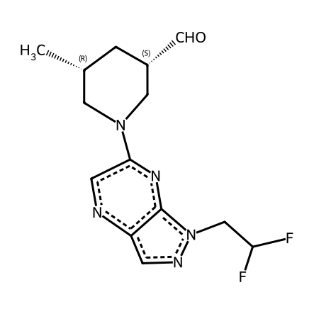 C[C@@H]1C[C@H](C=O)CN(c2cnc3cnn(CC(F)F)c3n2)C1